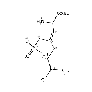 CCOC(=O)C(N)/C=C(/CCN(C)C(C)=O)CP(=O)(O)O